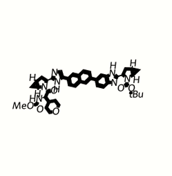 COC(=O)N[C@H](C(=O)N1[C@@H]2C[C@@H]2C[C@H]1c1ncc(-c2ccc3cc(-c4ccc5nc([C@H]6C[C@H]7C[C@H]7N6C(=O)OC(C)(C)C)[nH]c5c4)ccc3c2)[nH]1)C1CCOCC1